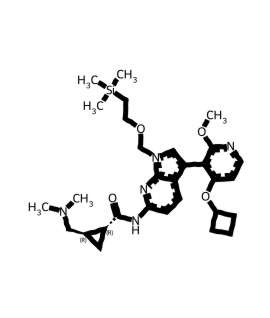 COc1nccc(OC2CCC2)c1-c1cn(COCC[Si](C)(C)C)c2nc(NC(=O)[C@@H]3C[C@H]3CN(C)C)ccc12